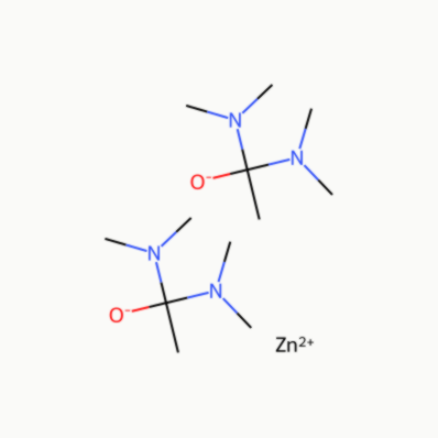 CN(C)C(C)([O-])N(C)C.CN(C)C(C)([O-])N(C)C.[Zn+2]